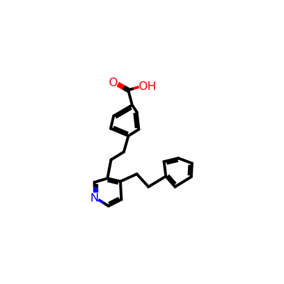 O=C(O)c1ccc(CCc2cnccc2CCc2ccccc2)cc1